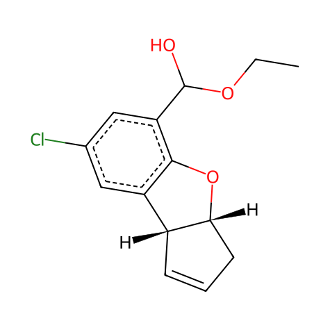 CCOC(O)c1cc(Cl)cc2c1O[C@@H]1CC=C[C@H]21